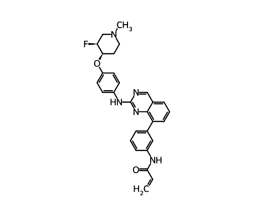 C=CC(=O)Nc1cccc(-c2cccc3cnc(Nc4ccc(O[C@@H]5CCN(C)C[C@@H]5F)cc4)nc23)c1